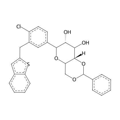 OC1[C@@H](O)C(c2ccc(Cl)c(Cc3cc4ccccc4s3)c2)OC2COC(c3ccccc3)O[C@H]21